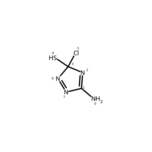 NC1=NC(S)(Cl)N=N1